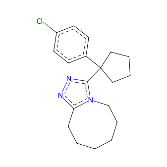 Clc1ccc(C2(c3nnc4n3CCCCCC4)CCCC2)cc1